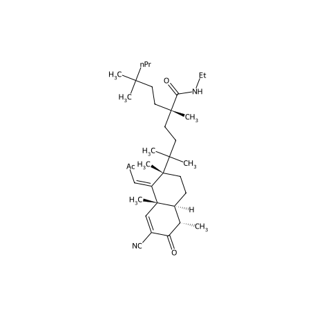 CCCC(C)(C)CC[C@@](C)(CCC(C)(C)[C@]1(C)CC[C@H]2[C@H](C)C(=O)C(C#N)=C[C@]2(C)/C1=C/C(C)=O)C(=O)NCC